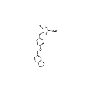 CSC1=NC(=O)C(=Cc2ccc(OCc3ccc4c(c3)CCC4)cc2)S1